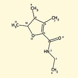 CCNC(=O)C1=C(C)C(C)C(C)O1